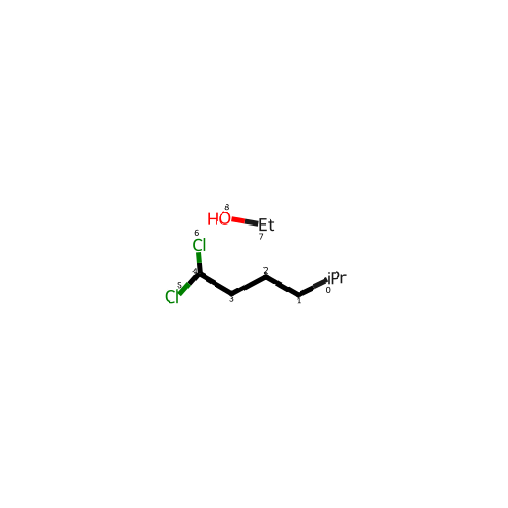 CC(C)CCCC(Cl)Cl.CCO